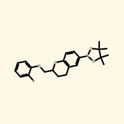 CC1(C)OB(c2ccc3c(c2)CCC(COc2ccccc2F)O3)OC1(C)C